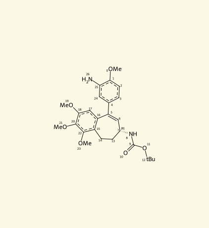 COc1ccc(C2=C[C@H](NC(=O)OC(C)(C)C)CCc3c2cc(OC)c(OC)c3OC)cc1N